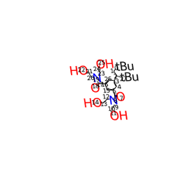 CC(C)(C)CC(c1cc(C(=O)N(CCO)CCO)cc(C(=O)N(CCO)CCO)c1)C(C)(C)C